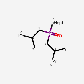 CCCCCCCP(=O)(CC(C)C(C)C)CC(C)C(C)C